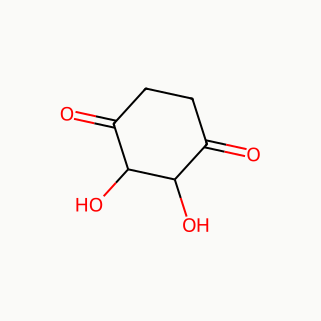 O=C1CCC(=O)C(O)C1O